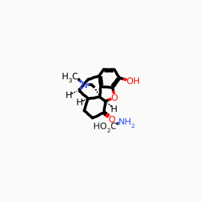 CN1CC[C@]23c4c5ccc(O)c4O[C@H]2C(=O)CC[C@H]3[C@H]1C5.NC(=O)O